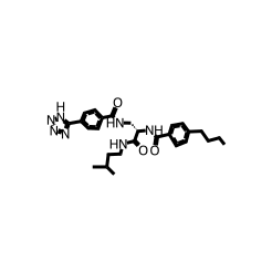 CCCCc1ccc(C(=O)N[C@@H](CNC(=O)c2ccc(-c3nnn[nH]3)cc2)C(=O)NCCC(C)C)cc1